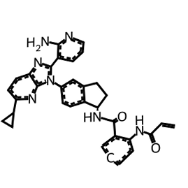 C=CC(=O)Nc1ccccc1C(=O)N[C@H]1CCc2cc(-n3c(-c4cccnc4N)nc4ccc(C5CC5)nc43)ccc21